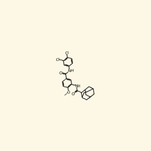 COc1ccc(C(=O)Nc2ccc(Cl)c(Cl)c2)cc1NC(=O)C1C2CC3CC(C2)CC1C3